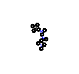 c1ccc(-n2c3ccccc3c3cccc(-c4cccc5c4c4ccccc4n5-c4ccc5c(c4)c4ccccc4n5-c4ccc([Si](c5ccccc5)(c5ccccc5)c5ccccc5)cc4)c32)cc1